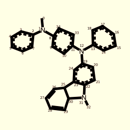 CN(c1ccccc1)c1ccc(N(c2ccccc2)c2ccc3c(c2)C2C=CC=CC2N3C)cc1